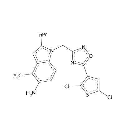 CCCc1cc2c(C(F)(F)F)c(N)ccc2n1Cc1noc(-c2cc(Cl)sc2Cl)n1